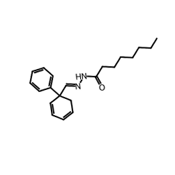 CCCCCCCC(=O)NN=CC1(c2ccccc2)C=CC=CC1